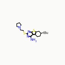 CC(C)(C)C1CCc2c(sc3nc(SCCN4CCCC4)nc(N)c23)C1